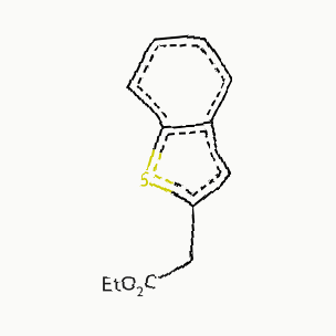 CCOC(=O)Cc1cc2ccccc2s1